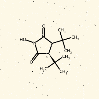 CC(C)(C)C1C(=O)N(O)C(=O)[C@@H]1C(C)(C)C